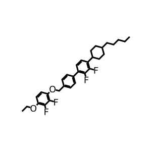 CCCCCC1CCC(c2ccc(-c3ccc(COc4ccc(OCC)c(F)c4F)cc3)c(F)c2F)CC1